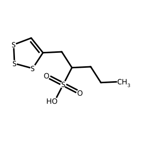 CCCC(CC1=CSSS1)S(=O)(=O)O